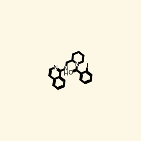 O=C(c1ccccc1I)N1CCCCC1CNc1nccc2ccccc12